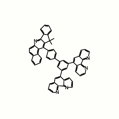 CC1(C)c2ccccc2-c2nc3ccc4ccccc4c3c(-c3ccc(-c4cc(-c5cc6cccnc6c6ncccc56)cc(-c5cc6cccnc6c6ncccc56)c4)cc3)c21